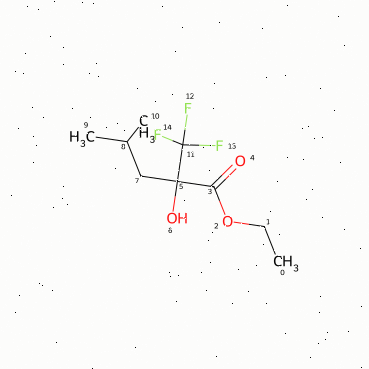 CCOC(=O)C(O)(CC(C)C)C(F)(F)F